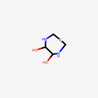 OC1NCCCNC1O